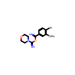 COc1cc(C(=N)OC(=N)N2CCOCC2)ccc1C(C)C